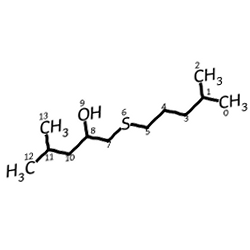 CC(C)CCCSCC(O)CC(C)C